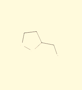 CC(=O)CC1CCOO1